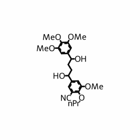 CCCOc1c(C#N)cc(C(O)CCC(O)c2cc(OC)c(OC)c(OC)c2)cc1OC